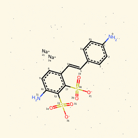 Nc1ccc(C=Cc2ccc(N)c(S(=O)(=O)[O-])c2S(=O)(=O)[O-])cc1.[Na+].[Na+]